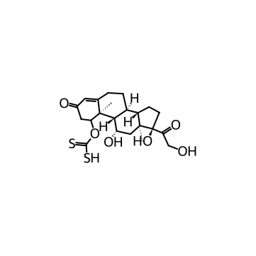 C[C@]12C[C@H](O)[C@H]3[C@@H](CCC4=CC(=O)CC(OC(=S)S)[C@@]43C)[C@@H]1CC[C@]2(O)C(=O)CO